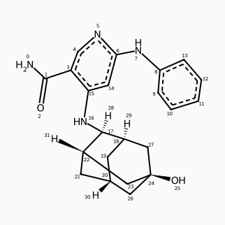 NC(=O)c1cnc(Nc2ccccc2)cc1N[C@H]1[C@@H]2C[C@H]3C[C@H]1C[C@@](O)(C3)C2